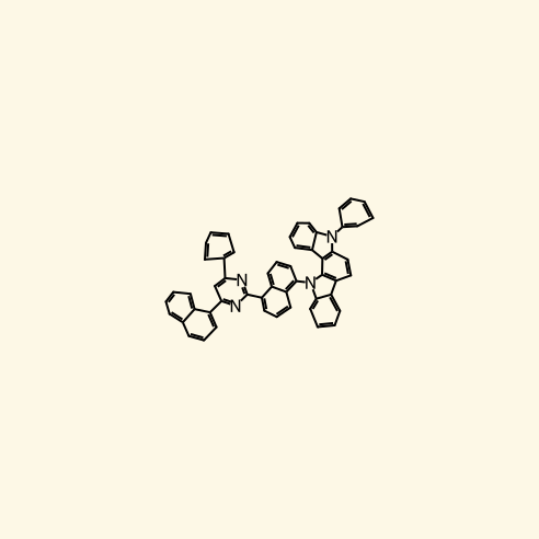 c1ccc(-c2cc(-c3cccc4ccccc34)nc(-c3cccc4c(-n5c6ccccc6c6ccc7c(c8ccccc8n7-c7ccccc7)c65)cccc34)n2)cc1